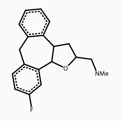 CNCC1CC2c3ccccc3Cc3ccc(F)cc3C2O1